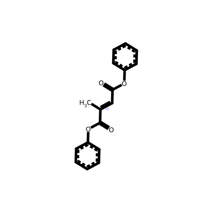 C/C(=C\C(=O)Oc1ccccc1)C(=O)Oc1ccccc1